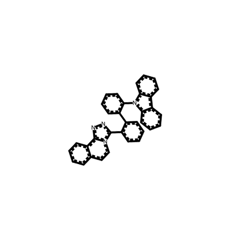 c1ccc(-c2nnc3c4ccccc4ccn23)c(-c2ccccc2-n2c3ccccc3c3ccccc32)c1